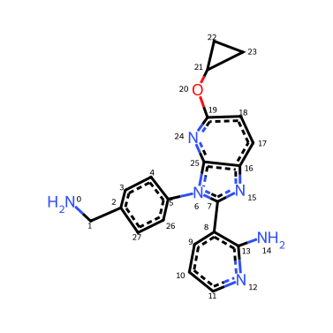 NCc1ccc(-n2c(-c3cccnc3N)nc3ccc(OC4CC4)nc32)cc1